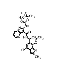 CCOc1c(C(C)NC(=O)c2c(NC(=O)OC(C)(C)C)nn3cccnc23)cc(Cl)c2cn(C)nc12